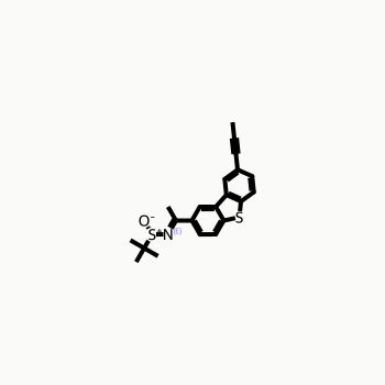 CC#Cc1ccc2sc3ccc(/C(C)=N/[S+]([O-])C(C)(C)C)cc3c2c1